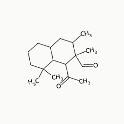 CC(=O)C1C2C(CCCC2(C)C)CC(C)C1(C)C=O